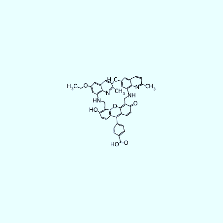 CCOc1cc(NCc2c(O)ccc3c(-c4ccc(C(=O)O)cc4)c4ccc(=O)c(CNc5cc(C)cc6ccc(C)nc56)c-4oc23)c2nc(C)ccc2c1